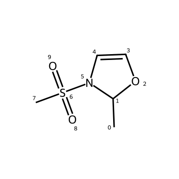 CC1OC=CN1S(C)(=O)=O